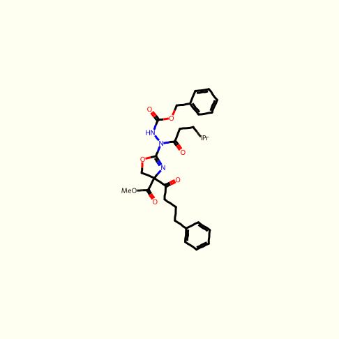 COC(=O)C1(C(=O)CCCc2ccccc2)COC(N(NC(=O)OCc2ccccc2)C(=O)CCC(C)C)=N1